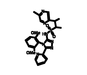 COc1cccc(OC)c1-n1c(NS(=O)(=O)C(C)C(C)c2cnc(C)cn2)nnc1-c1ccccn1